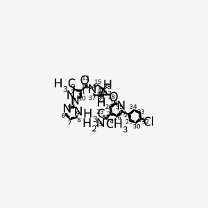 Cc1nn(-c2ncccn2)cc1C(=O)N1C[C@@H]2C(Oc3cc(C(C)(C)N)cc(-c4ccc(Cl)cc4)n3)[C@@H]2C1